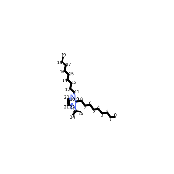 CCCCCCCCCC1N(CCCCCCCCC)C=CN1C(C)C